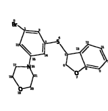 Brc1cc(SC2COc3ccccc32)cc(N2CCOCC2)c1